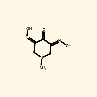 CN1CC(=NO)C(=O)C(=NO)C1